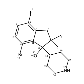 CC1(C)Cc2c(F)ccc(Br)c2C1(O)C1CCNCC1